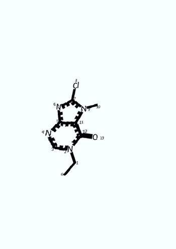 CCn1cnc2nc(Cl)n(C)c2c1=O